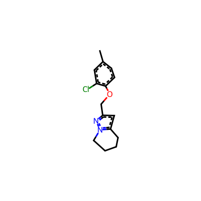 Cc1ccc(OCc2cc3n(n2)CCCC3)c(Cl)c1